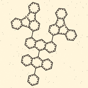 c1ccc(-c2c3ccccc3c(-c3c4cccc(-c5ccc6c7ccccc7n7c8ccccc8c5c67)c4cc4c(-c5ccc6c7ccccc7n7c8ccccc8c5c67)cccc34)c3ccccc23)cc1